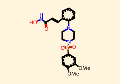 COc1ccc(S(=O)(=O)N2CCN(c3ccccc3/C=C/C(=O)NO)CC2)cc1OC